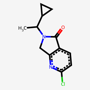 CC(C1CC1)N1Cc2nc(Cl)ccc2C1=O